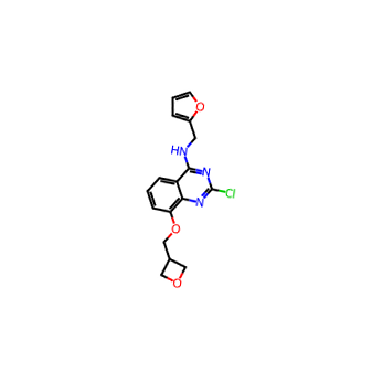 Clc1nc(NCc2ccco2)c2cccc(OCC3COC3)c2n1